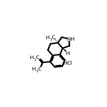 C=C(C)c1cccc2c1CC[C@@]1(C)CNC[C@H]21.Cl